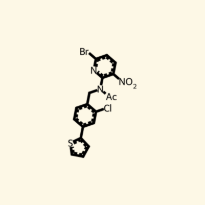 CC(=O)N(Cc1ccc(-c2cccs2)cc1Cl)c1nc(Br)ccc1[N+](=O)[O-]